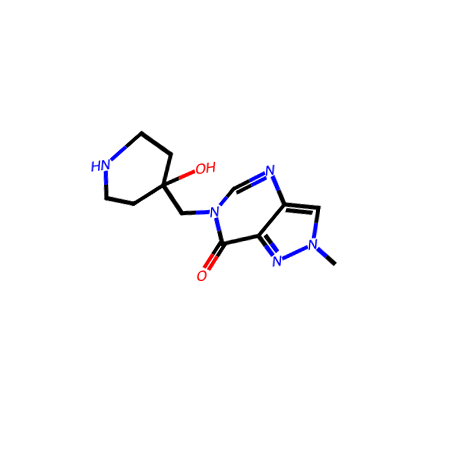 Cn1cc2ncn(CC3(O)CCNCC3)c(=O)c2n1